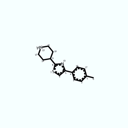 Cc1ccc(-c2csc(C3CCNCC3)n2)cc1